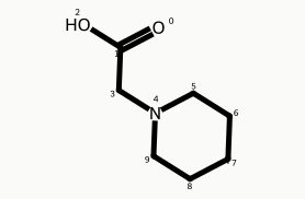 O=C(O)CN1CC[CH]CC1